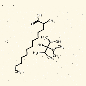 CC(C)C(O)(C(C)O)N(C)C.CCCCCCCCCCCC(C)C(=O)O